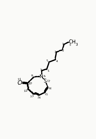 CCCCCCCCN1CC(=O)CC=CC=CS1